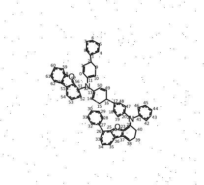 C1=CC(c2ccccc2)CC=C1N(C1=CCC(c2ccc(N(C3=c4oc5c(-c6ccccc6)cccc5c4=CCC3)c3ccccc3)cc2)C=C1)c1cccc2c1oc1ccccc12